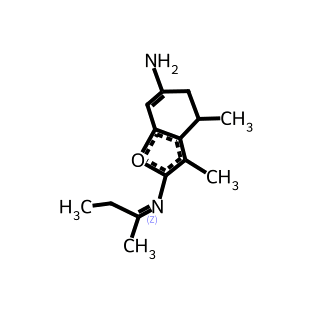 CC/C(C)=N\c1oc2c(c1C)C(C)CC(N)=C2